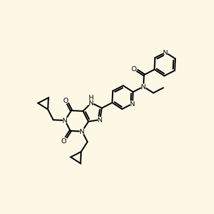 CCN(C(=O)c1cccnc1)c1ccc(-c2nc3c([nH]2)c(=O)n(CC2CC2)c(=O)n3CC2CC2)cn1